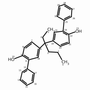 CCCC(CC)(c1ccc(O)c(-c2ccccc2)c1)c1ccc(O)c(-c2ccccc2)c1